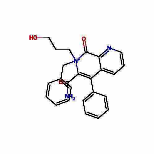 NC(=O)C1=C(c2ccccc2)c2cccnc2C(=O)[N+]1(CCCO)Cc1ccccc1